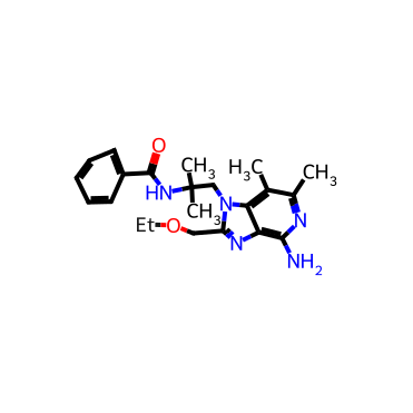 CCOCc1nc2c(N)nc(C)c(C)c2n1CC(C)(C)NC(=O)c1ccccc1